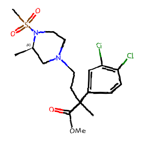 COC(=O)C(C)(CCN1CCN(S(C)(=O)=O)[C@H](C)C1)c1ccc(Cl)c(Cl)c1